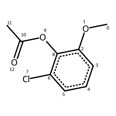 COc1cccc(Cl)c1OC(C)=O